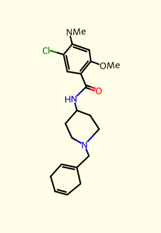 CNc1cc(OC)c(C(=O)NC2CCN(CC3=CCC=CC3)CC2)cc1Cl